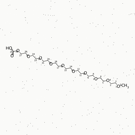 COCCOCCOCCOCCOCCOCCOCCOCCOCCOC(=O)O